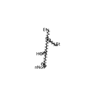 CC/C=C\CCCCOC(CCCCCCCCN(CCO)CCCCCCCC(=O)OCCCCCCCCC)OCCCC/C=C\CC